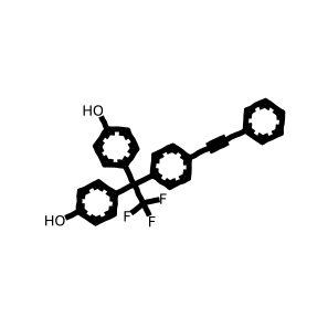 Oc1ccc(C(c2ccc(O)cc2)(c2ccc(C#Cc3ccccc3)cc2)C(F)(F)F)cc1